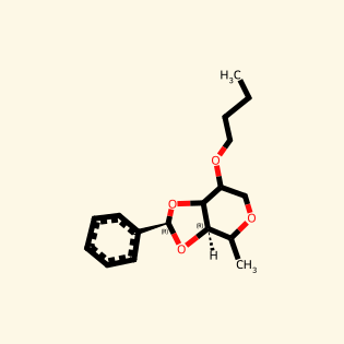 CCCCOC1COC(C)[C@H]2O[C@@H](c3ccccc3)OC12